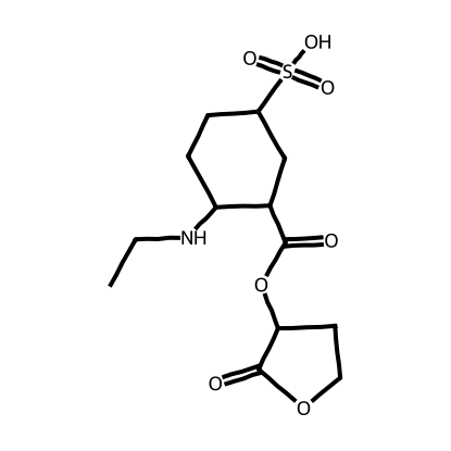 CCNC1CCC(S(=O)(=O)O)CC1C(=O)OC1CCOC1=O